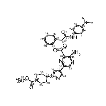 CN(C)c1ccc(NC(=O)[C@H](OC(=O)c2nc(-c3cnn(C4CCN(C(=O)OC(C)(C)C)CC4)c3)cnc2N)c2ccccc2)cc1